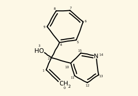 C=CC(O)(c1ccccc1)c1cccnc1